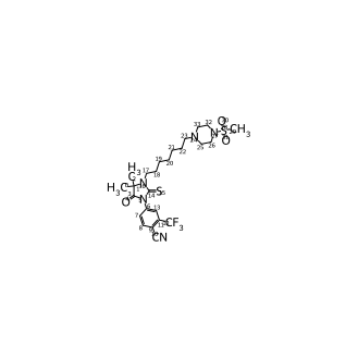 CC1(C)C(=O)N(c2ccc(C#N)c(C(F)(F)F)c2)C(=S)N1CCCCCCCN1CCN(S(C)(=O)=O)CC1